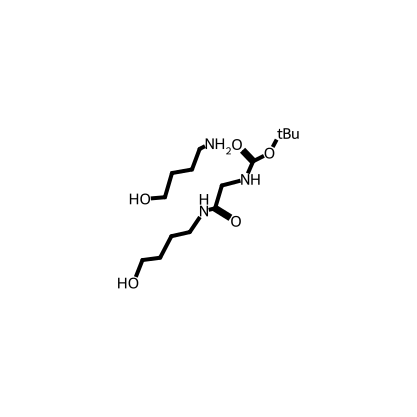 CC(C)(C)OC(=O)NCC(=O)NCCCCO.NCCCCO